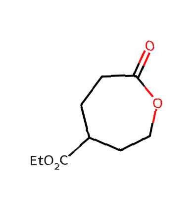 CCOC(=O)C1CCOC(=O)CC1